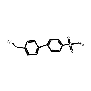 NS(=O)(=O)c1ccc(-c2ccc(OC(F)(F)F)cc2)cc1